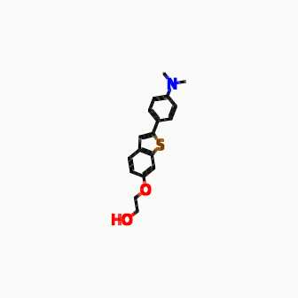 CN(C)c1ccc(-c2cc3ccc(OCCO)cc3s2)cc1